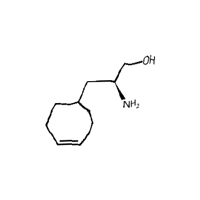 N[C@H](CO)CC1CC=CCC1